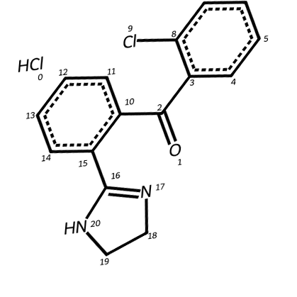 Cl.O=C(c1ccccc1Cl)c1ccccc1C1=NCCN1